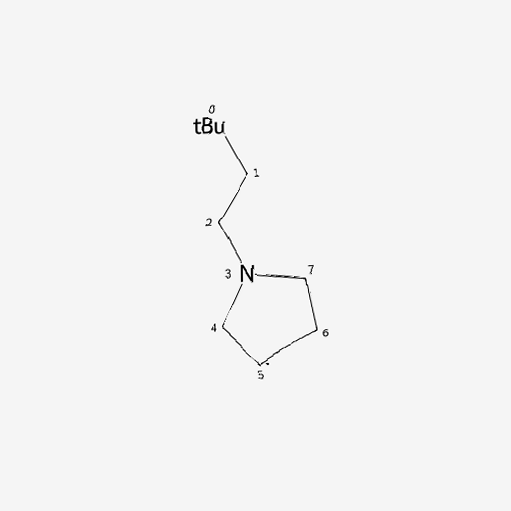 CC(C)(C)CCN1C[CH]CC1